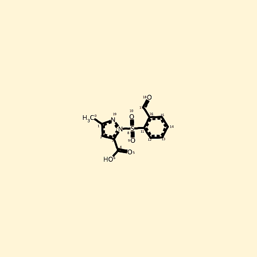 Cc1cc(C(=O)O)n(S(=O)(=O)c2ccccc2C=O)n1